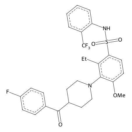 CCc1c(S(=O)(=O)Nc2ccccc2C(F)(F)F)ccc(OC)c1N1CCC(C(=O)c2ccc(F)cc2)CC1